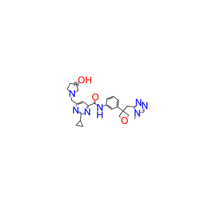 Cn1cnnc1CC1(c2cccc(NC(=O)c3cc(CN4CC[C@H](O)C4)nc(C4CC4)n3)c2)COC1